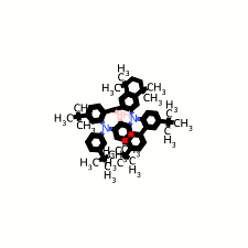 Cc1cc2c3c(c1)N(c1ccc(C(C)(C)C)cc1-c1ccc(C(C)(C)C)cc1)c1cc4c(cc1C(B3)c1ccc(C(C)(C)C)cc1N2c1cccc(C(C)(C)C)c1)C(C)(C)CCC4(C)C